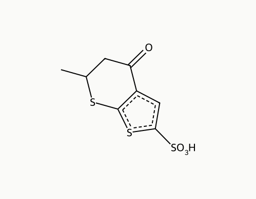 CC1CC(=O)c2cc(S(=O)(=O)O)sc2S1